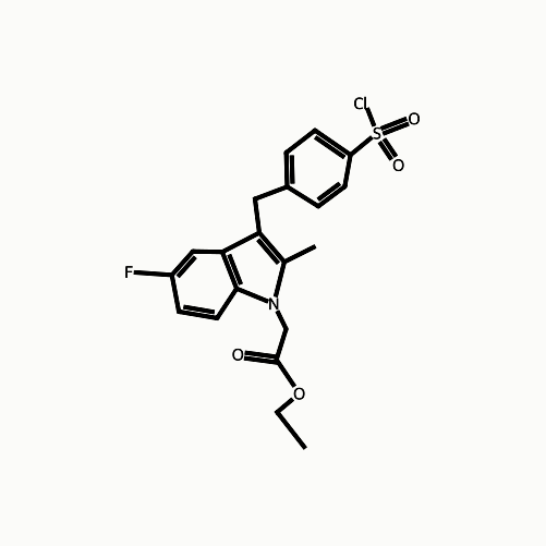 CCOC(=O)Cn1c(C)c(Cc2ccc(S(=O)(=O)Cl)cc2)c2cc(F)ccc21